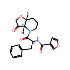 O=C(N[C@@H](Cc1ccccc1)C(=O)N1CCC[C@H]2OCC(=O)[C@H]21)c1ccoc1